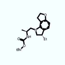 CC[C@@H]1CN(C[C@H](C)NC(=O)OC(C)(C)C)c2c1ccc1c2CCO1